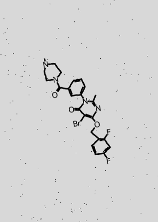 Cc1nc(OCc2ccc(F)cc2F)c(Br)c(=O)n1-c1cccc(C(=O)N2CCN(C)CC2)c1